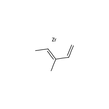 C=CC(C)=CC.[Zr]